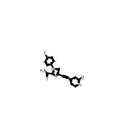 NC(=O)c1nc(C#Cc2ccnc(Cl)c2)cn1-c1ccc(F)cc1